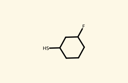 FC1CCCC(S)C1